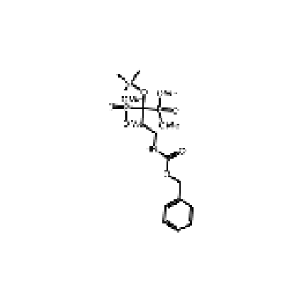 COP(=O)(OC)C(CCNC(=O)OCc1ccccc1)(O[Si](C)(C)C)P(=O)(OC)OC